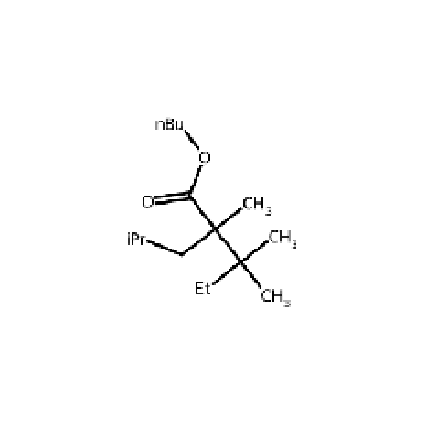 CCCCOC(=O)C(C)(CC(C)C)C(C)(C)CC